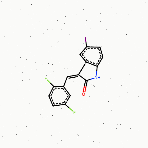 O=C1Nc2ccc(I)cc2C1=Cc1cc(F)ccc1F